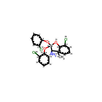 CCC(N)[Si](Oc1ccccc1Cl)(Oc1ccccc1Cl)Oc1ccccc1Cl